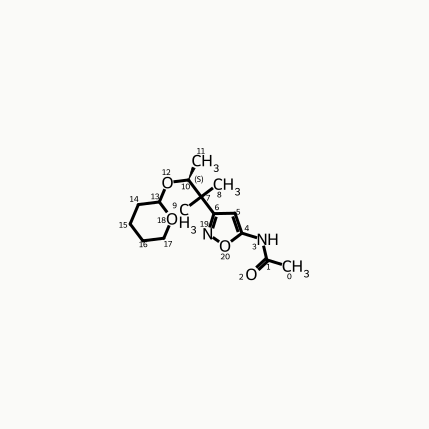 CC(=O)Nc1cc(C(C)(C)[C@H](C)OC2CCCCO2)no1